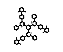 Cc1cccc(C)c1-c1ccc(-c2cc(-c3ccccc3)nc(-c3cc(-c4cc(-c5ccc(-c6c(C)cccc6C)cc5)cc(-c5ccccc5)n4)cc(-c4cc(-c5ccc(-c6c(C)cccc6C)cc5)cc(-c5ccccc5)n4)c3)c2)cc1